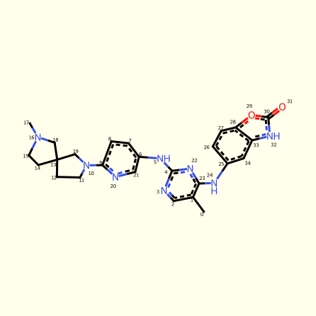 Cc1cnc(Nc2ccc(N3CCC4(CCN(C)C4)C3)nc2)nc1Nc1ccc2oc(=O)[nH]c2c1